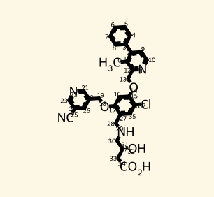 Cc1c(-c2ccccc2)ccnc1COc1cc(OCc2cncc(C#N)c2)c(CNC[C@@H](O)CC(=O)O)cc1Cl